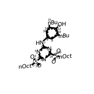 CCCCCCCCS(=O)(=O)c1nc(Nc2cc(CCCC)c(O)c(CCCC)c2)nc(S(=O)(=O)CCCCCCCC)n1